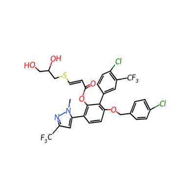 Cn1nc(C(F)(F)F)cc1-c1ccc(OCc2ccc(Cl)cc2)c(-c2ccc(Cl)c(C(F)(F)F)c2)c1OC(=O)/C=C/SCC(O)CO